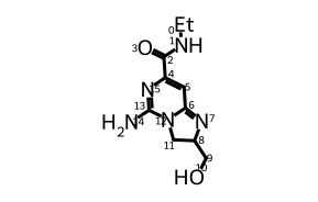 CCNC(=O)C1=CC2=NC(CO)CN2C(N)=N1